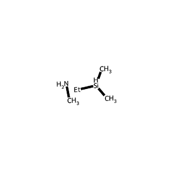 CC[SiH](C)C.CN